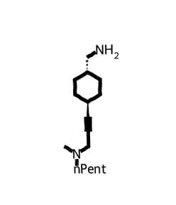 CCCCCN(C)CC#C[C@H]1CC[C@H](CN)CC1